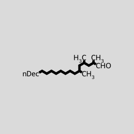 CCCCCCCCCCCCCCCCCCC(C)CC(C)CC(C)C=O